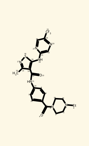 CCN1CCN(C(=O)c2ccc(NC(=O)c3c(C)nsc3Nc3cnc(C(F)(F)F)cn3)cc2)CC1